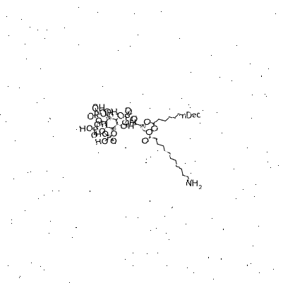 CCCCCCCCCCCCCCCC(=O)O[C@H](COC(=O)CCCCCCCCCCCN)COP(=O)(O)OC1C(O)[C@@H](OP(=O)(O)O)C(OP(=O)(O)O)[C@@H](OP(=O)(O)O)[C@H]1O